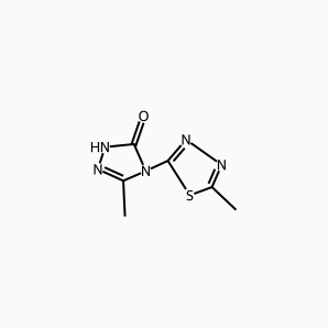 Cc1nnc(-n2c(C)n[nH]c2=O)s1